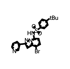 CC(C)(C)c1ccc(S(=O)(=O)Nc2ccc(Br)c3cc(-c4cccnc4)nn23)cc1